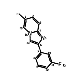 Cc1ccc2nc(-c3cccc(F)c3)cn2c1